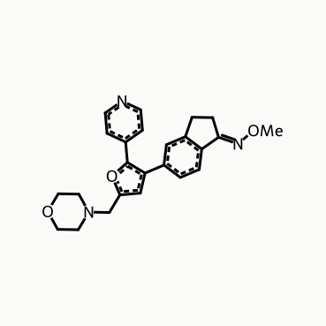 CON=C1CCc2cc(-c3cc(CN4CCOCC4)oc3-c3ccncc3)ccc21